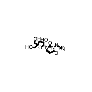 [N-]=[N+]=Nn1c(=O)ccn([C@@H]2OC(CO)(CO)C[C@H]2O)c1=O